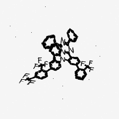 FC(F)(F)c1ccc(-c2ccc3c(c2)c2ccccc2n3-c2cc(-c3ccccc3C(F)(F)F)ccc2-c2nc(-c3ccccc3)nc(-c3ccccc3)n2)c(C(F)(F)F)c1